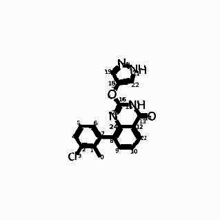 Cc1c(Cl)cccc1-c1cccc2c(=O)[nH]c(Oc3cn[nH]c3)nc12